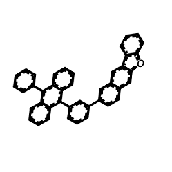 c1ccc(-c2c3ccccc3c(-c3cccc(-c4ccc5cc6oc7ccccc7c6cc5c4)c3)c3ccccc23)cc1